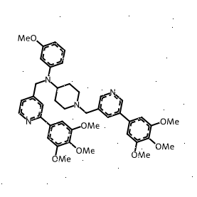 COc1cccc(N(Cc2ccnc(-c3cc(OC)c(OC)c(OC)c3)c2)C2CCN(Cc3cncc(-c4cc(OC)c(OC)c(OC)c4)c3)CC2)c1